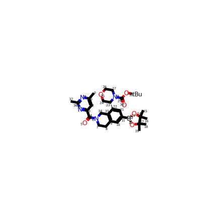 Cc1cc(C(=O)N2CCc3cc(B4OC(C)(C)C(C)(C)O4)cc([C@@H]4COCCN4C(=O)OC(C)(C)C)c3C2)nc(C)n1